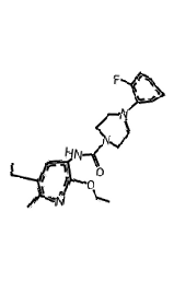 CCOc1nc(C)c(CC)cc1NC(=O)N1CCN(c2ccccc2F)CC1